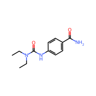 CCN(CC)C(=O)Nc1ccc(C(N)=O)cc1